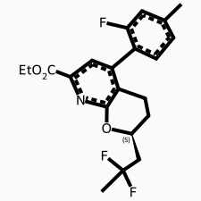 CCOC(=O)c1cc(-c2ccc(C)cc2F)c2c(n1)O[C@H](CC(C)(F)F)CC2